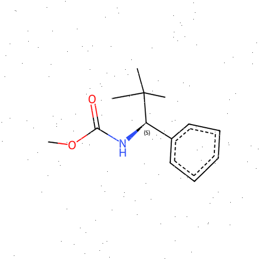 COC(=O)N[C@H](c1ccccc1)C(C)(C)C